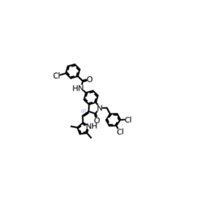 Cc1cc(C)c(/C=C2\C(=O)N(Cc3ccc(Cl)c(Cl)c3)c3ccc(NC(=O)c4cccc(Cl)c4)cc32)[nH]1